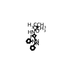 CC(C)(C)OC(=O)NC1CC(c2nnc(-c3ccccc3)n2-c2ccccc2F)C1